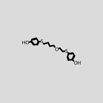 Oc1ccc(SCCCCOCCSc2ccc(O)cc2)cc1